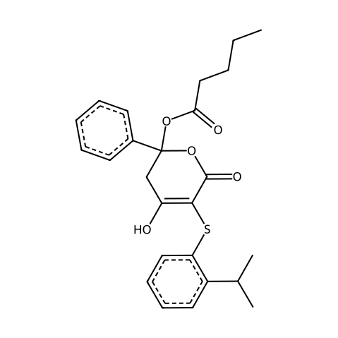 CCCCC(=O)OC1(c2ccccc2)CC(O)=C(Sc2ccccc2C(C)C)C(=O)O1